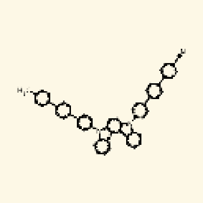 Cc1ccc(-c2ccc(-c3ccc(-n4c5ccccc5c5c6c7ccccc7n(-c7ccc(-c8ccc(-c9ccc(C#N)cc9)cc8)cc7)c6ccc54)cc3)cc2)cc1